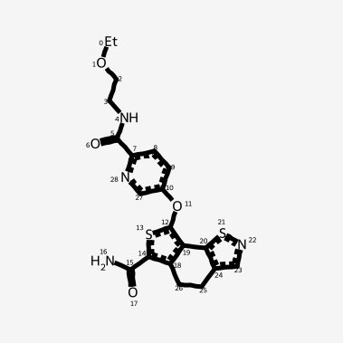 CCOCCNC(=O)c1ccc(Oc2sc(C(N)=O)c3c2-c2sncc2CC3)cn1